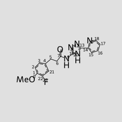 COc1ccc(CCC(=O)Nc2nnc(-c3ccccn3)[nH]2)cc1F